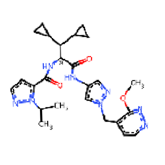 COc1nnccc1Cn1cc(NC(=O)[C@@H](NC(=O)c2ccnn2C(C)C)C(C2CC2)C2CC2)cn1